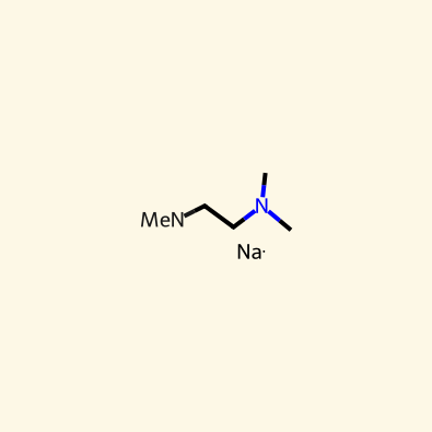 CNCCN(C)C.[Na]